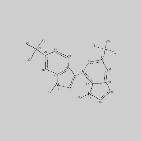 Cn1cc(-c2cc(C(C)(C)C)cc3ccn(C)c23)c2ccc(C(C)(C)C)cc21